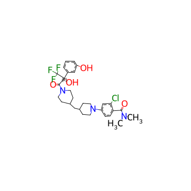 CN(C)C(=O)c1ccc(N2CCC(CC3CCN(C(=O)[C@](O)(c4cccc(O)c4)C(F)(F)F)CC3)CC2)cc1Cl